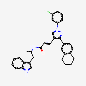 O=C(/C=C/c1cn(-c2cccc(Cl)c2)nc1-c1ccc2c(c1)CCCC2)NC(Cc1c[nH]c2ccccc12)C(=O)O